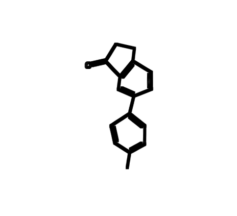 Cc1ccc(-c2ccc3c(c2)C(=O)CC3)cc1